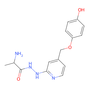 CC(N)C(=O)NNc1cc(COc2ccc(O)cc2)ccn1